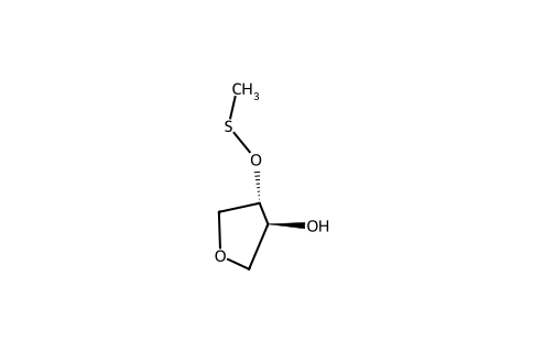 CSO[C@H]1COC[C@@H]1O